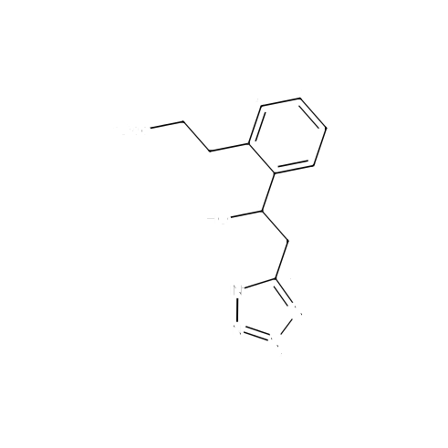 CCCCCCCCCCCCc1ccccc1C(O)Cc1nnn[nH]1